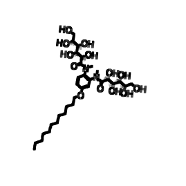 CCCCCCCCCCCCOc1ccc(N(C)C(=O)[C@H](O)[C@@H](O)[C@H](O)[C@H](O)CO)c(N(C)C(=O)[C@H](O)[C@@H](O)[C@H](O)[C@H](O)CO)c1